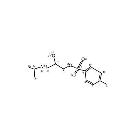 Cc1ccc(S(=O)(=O)OCC(O)CNC(C)C)cc1